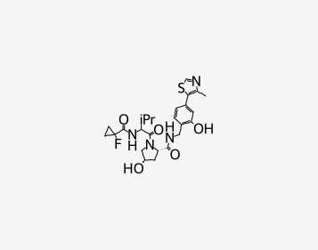 Cc1ncsc1-c1ccc(CNC(=O)[C@@H]2C[C@@H](O)CN2C(=O)C(NC(=O)C2(F)CC2)C(C)C)c(O)c1